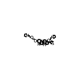 C[C@]12CC[C@H](OCCOCCN3CCCC3)C[C@H]1CC[C@@H]1[C@@H]2CC[C@@]2(C)[C@H]1CC[C@@]2(OCCN1CCCC1)c1ccsc1